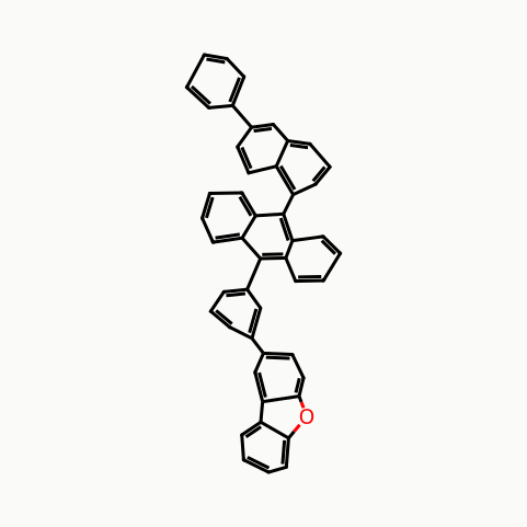 c1ccc(-c2ccc3c(-c4c5ccccc5c(-c5cccc(-c6ccc7oc8ccccc8c7c6)c5)c5ccccc45)cccc3c2)cc1